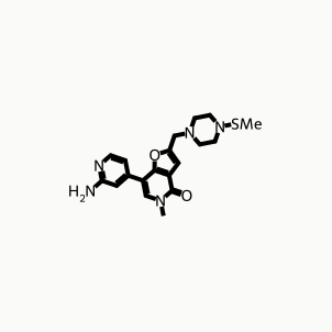 CSN1CCN(Cc2cc3c(=O)n(C)cc(-c4ccnc(N)c4)c3o2)CC1